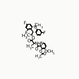 COc1cc(F)ccc1[C@@H](c1ccc(F)cc1F)[C@H](C)OC(=O)[C@H](C)NC(=O)c1nccc(OC)c1OC(C)=O